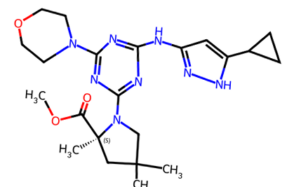 COC(=O)[C@]1(C)CC(C)(C)CN1c1nc(Nc2cc(C3CC3)[nH]n2)nc(N2CCOCC2)n1